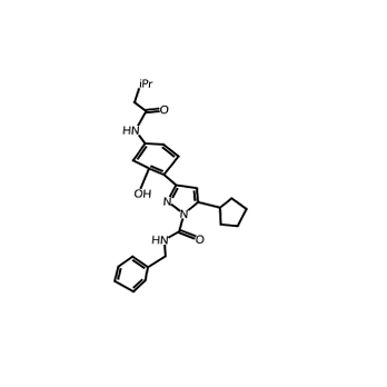 CC(C)CC(=O)Nc1ccc(-c2cc(C3CCCC3)n(C(=O)NCc3ccccc3)n2)c(O)c1